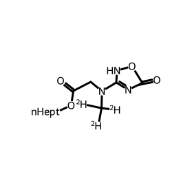 [2H]C([2H])([2H])N(CC(=O)OCCCCCCC)c1nc(=O)o[nH]1